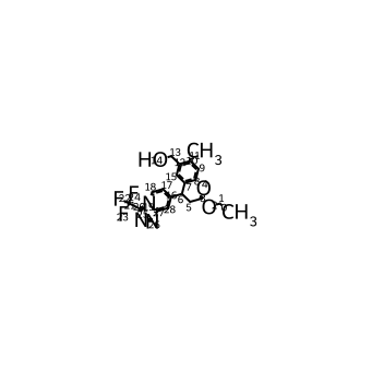 CCOC(=O)CC(c1ccc(C)c(CO)c1)c1ccn2c(C(F)(F)F)nnc2c1